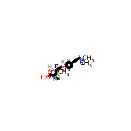 CN(C)CC#Cc1ccc(OCC(C)(C)Cc2scnc2C(=O)O)c(F)c1